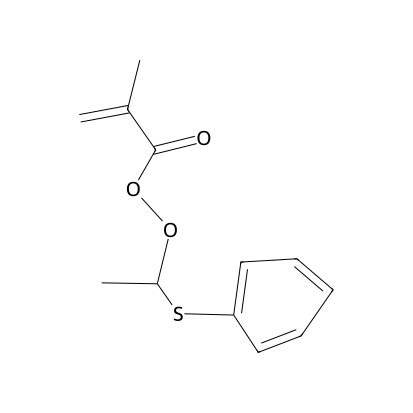 C=C(C)C(=O)OOC(C)Sc1ccccc1